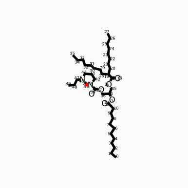 CCCCCCCCCCCC(=O)OC(COC(=O)C(CCCCCCCC)CCCCCCCC)COC(=O)N(C)CCCN(C)CCC